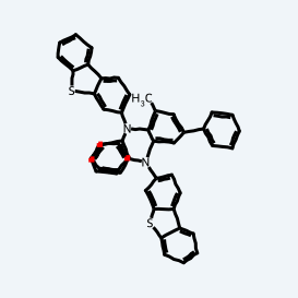 Cc1cc(-c2ccccc2)cc(N(c2ccccc2)c2ccc3c(c2)sc2ccccc23)c1N(c1ccccc1)c1ccc2c(c1)sc1ccccc12